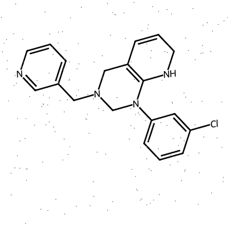 Clc1cccc(N2CN(Cc3cccnc3)CC3=C2NCC=C3)c1